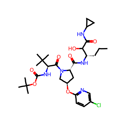 CCC[C@H](NC(=O)[C@@H]1C[C@@H](Oc2ccc(Cl)cn2)CN1C(=O)[C@@H](NC(=O)OC(C)(C)C)C(C)(C)C)C(O)C(=O)NC1CC1